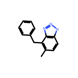 Cc1ccc2c(c1Cc1ccccc1)N=N[N]2